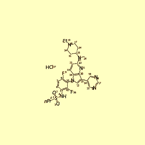 CCCS(=O)(=O)Nc1ccc(F)c(-n2cc(-c3cncnc3)c3nc(N(C)C4CCN(CC)CC4)ccc32)c1F.Cl